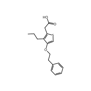 CCCc1c(OCCc2ccccc2)csc1CC(=O)O